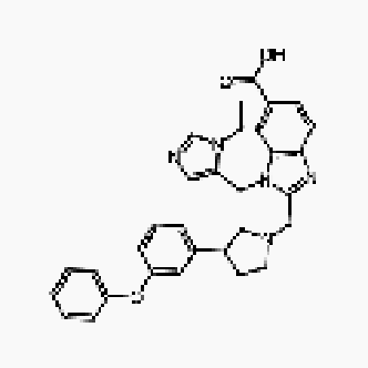 CCn1cncc1Cn1c(CN2CCC(c3cccc(Oc4ccccc4)c3)C2)nc2ccc(C(=O)O)cc21